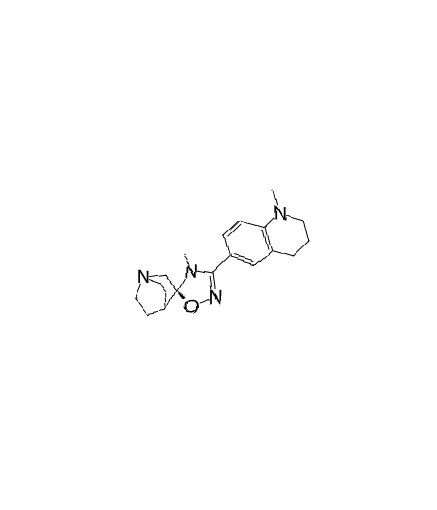 CN1CCCc2cc(C3=NO[C@@]4(CN5CCC4CC5)N3C)ccc21